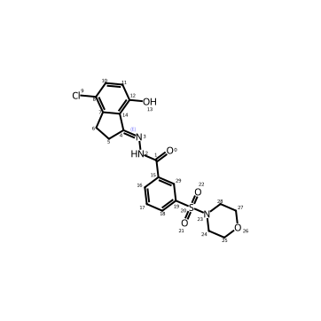 O=C(N/N=C1\CCc2c(Cl)ccc(O)c21)c1cccc(S(=O)(=O)N2CCOCC2)c1